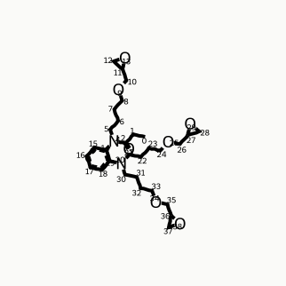 CCC(=O)N(CCCCOCC1CO1)c1ccccc1N(CCCCOCC1CO1)CCCCOCC1CO1